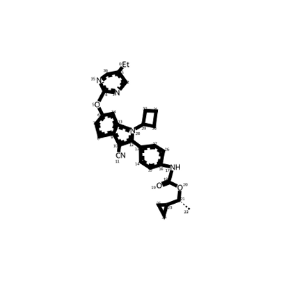 CCc1cnc(Oc2ccc3c(C#N)c(-c4ccc(NC(=O)O[C@H](C)C5CC5)cc4)n(C4CCC4)c3c2)nc1